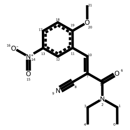 CCN(CC)C(=O)/C(C#N)=C/c1cc([N+](=O)[O-])ccc1OC